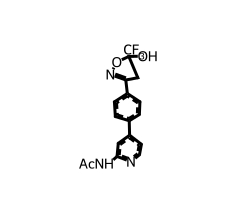 CC(=O)Nc1cc(-c2ccc(C3=NOC(O)(C(F)(F)F)C3)cc2)ccn1